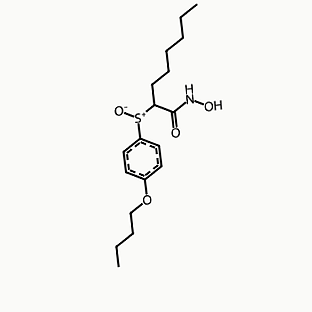 CCCCCCC(C(=O)NO)[S+]([O-])c1ccc(OCCCC)cc1